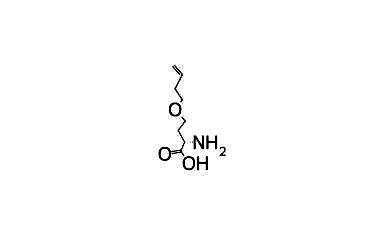 C=CCCOCC[C@H](N)C(=O)O